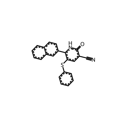 N#Cc1cc(Sc2ccccc2)c(-c2ccc3ccccc3c2)[nH]c1=O